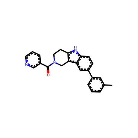 Cc1cccc(-c2ccc3[nH]c4c(c3c2)CN(C(=O)c2cccnc2)CC4)c1